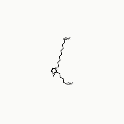 CCCCCCCCCCCCCCCCCCC[n+]1ccn(C)c1CCCCCCCCCCCCCC